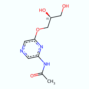 CC(=O)Nc1cncc(OC[C@@H](O)CO)n1